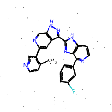 Cc1ccncc1-c1cc2c(-c3nc4c(-c5cccc(F)c5)nccc4[nH]3)n[nH]c2cn1